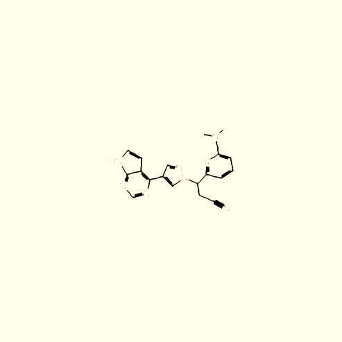 CN(C)c1cccc(C(CC#N)n2cc(-c3ncnc4[nH]ccc34)cn2)n1